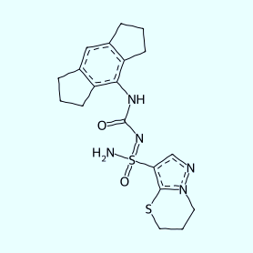 NS(=O)(=NC(=O)Nc1c2c(cc3c1CCC3)CCC2)c1cnn2c1SCCC2